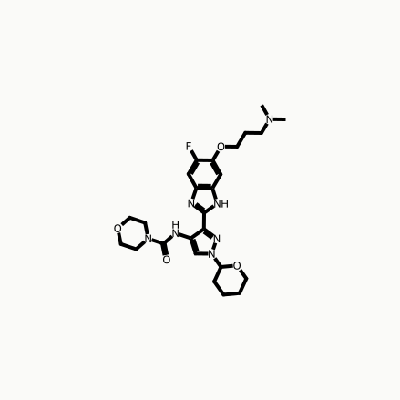 CN(C)CCCOc1cc2[nH]c(-c3nn(C4CCCCO4)cc3NC(=O)N3CCOCC3)nc2cc1F